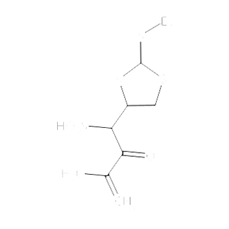 C=C(C)C(=O)C(C1CSC(SCC)S1)S(=O)(=O)O